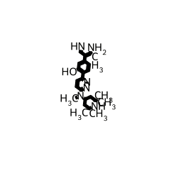 C/C(N)=C(/C=N)c1ccc(-c2ccc(N(C)C3CC(C)(C)NC(C)(C)C3)nn2)c(O)c1